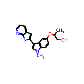 CC(CO)Oc1ccc2c(c1)c(-c1cc3cccnc3[nH]1)cn2C